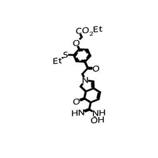 CCOC(=O)COc1ccc(C(=O)CN2C=C3C=CC(C(=N)NO)C(=O)C3C2)cc1SCC